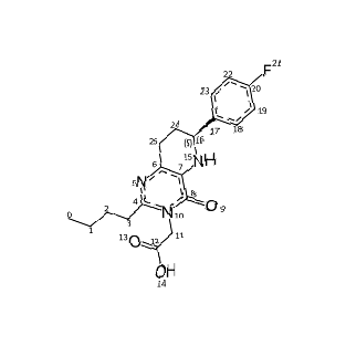 CCCCc1nc2c(c(=O)n1CC(=O)O)N[C@H](c1ccc(F)cc1)CC2